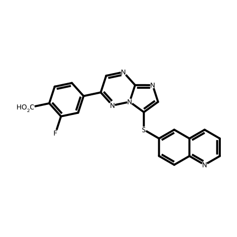 O=C(O)c1ccc(-c2cnc3ncc(Sc4ccc5ncccc5c4)n3n2)cc1F